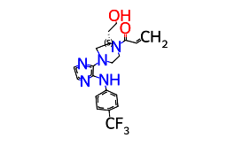 C=CC(=O)N1CCN(c2nccnc2Nc2ccc(C(F)(F)F)cc2)C[C@@H]1CCO